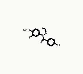 C/C=N\N(C(=O)c1ccc(Cl)cc1)c1ccc(OC)c(F)c1